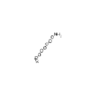 CC(C)(C)CC(C)(C)OCCOCCOCCOCCOCCOCCOCCN